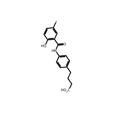 O=C(O)CCCc1ccc(NC(=O)c2cc(I)ccc2O)cc1